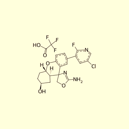 NC1=NC2(CO1)c1cc(-c3cc(Cl)cnc3F)ccc1O[C@H]1CC[C@H](O)C[C@@H]12.O=C(O)C(F)(F)F